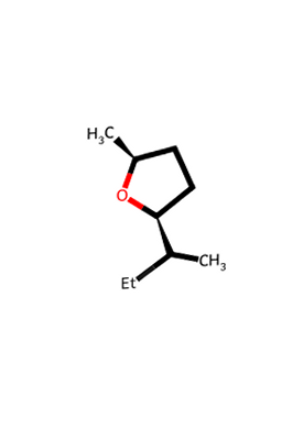 CCC(C)[C@@H]1CC[C@H](C)O1